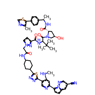 CNc1cc(-c2ccc3cc(C#N)cnn23)ncc1-c1nnc(C2CCC(NC(=O)Cn3ccc(C(=O)NC(C(=O)N4C[C@H](O)C[C@H]4C(=O)N[C@@H](C)c4ccc(-c5scnc5C)cc4)C(C)(C)C)n3)CC2)s1